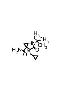 CC(C)(C)NC(=O)[C@H](CC1CC1)C1(C(N)=O)CC1